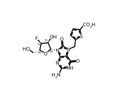 Nc1nc2c(c(=O)[nH]1)n(Cc1ccc(C(=O)O)s1)c(=O)n2[C@@H]1O[C@H](CO)[C@@H](F)[C@H]1O